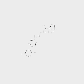 Cc1cc(-c2ccc(NC(=O)CNC(=O)c3ccnn3C)cc2F)c(C)cn1